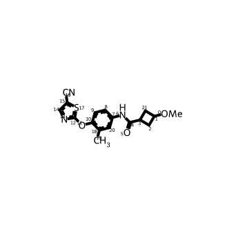 COC1CC(C(=O)Nc2ccc(Oc3ncc(C#N)s3)c(C)c2)C1